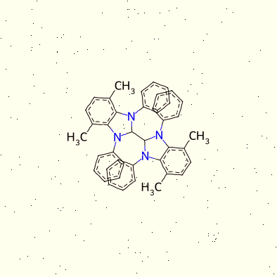 Cc1ccc(C)c2c1N(c1ccccc1)C(C1N(c3ccccc3)c3c(C)ccc(C)c3N1c1ccccc1)N2c1ccccc1